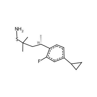 C[C@@H](CC(C)(C)SN)c1ccc(C2CC2)cc1F